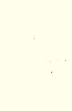 CC(C)C[C@H](NC(=O)C(Cc1c[nH]cn1)NC(=O)[C@H](Cc1cccc2ccccc12)NC(=O)OCc1ccccc1)[C@@H](O)CC(=O)OCC(=O)c1ccccc1